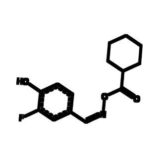 O=C(O/N=C\c1ccc(O)c(F)c1)C1CCCCC1